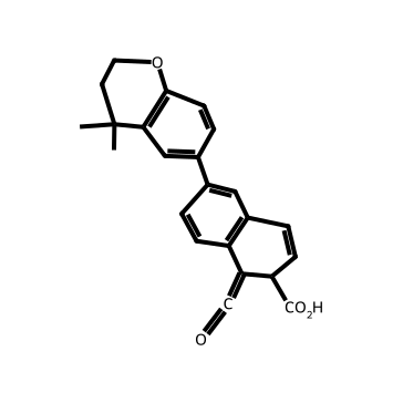 CC1(C)CCOc2ccc(-c3ccc4c(c3)C=CC(C(=O)O)C4=C=O)cc21